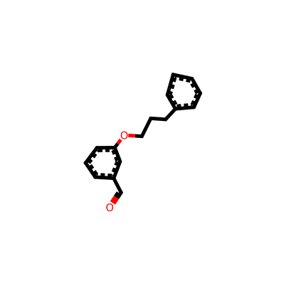 O=Cc1cccc(OCCCc2ccccc2)c1